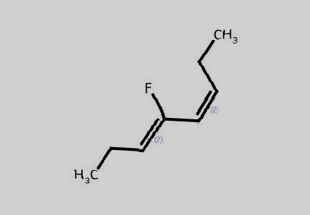 CC/C=C\C(F)=C\CC